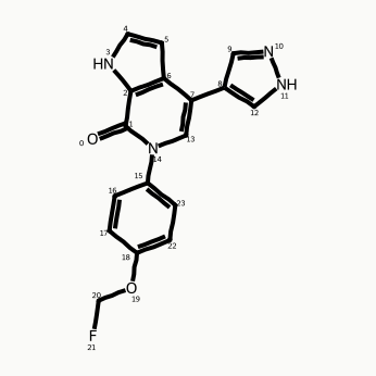 O=c1c2[nH]ccc2c(-c2cn[nH]c2)cn1-c1ccc(OCF)cc1